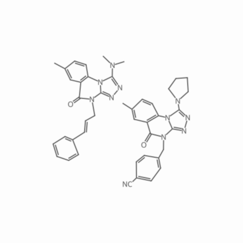 Cc1ccc2c(c1)c(=O)n(CC=Cc1ccccc1)c1nnc(N(C)C)n21.Cc1ccc2c(c1)c(=O)n(Cc1ccc(C#N)cc1)c1nnc(N3CCCC3)n21